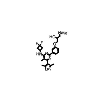 CNCC(O)COc1cccc(-c2nc(NC3CC(F)(F)C3)c(C)c(-c3c(C)noc3C)n2)c1